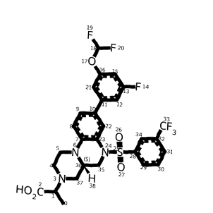 CC(C(=O)O)N1CCN2c3ccc(-c4cc(F)cc(OC(F)F)c4)cc3N(S(=O)(=O)c3cccc(C(F)(F)F)c3)C[C@@H]2C1